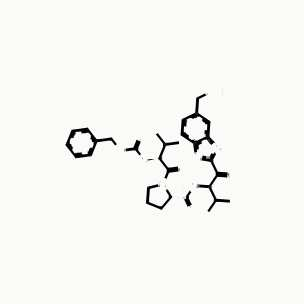 CC(C)C(NC(=O)[C@@H]1CCCN1C(=O)[C@@H](NC(=O)OCc1ccccc1)C(C)C)C(=O)c1nc2cc(CO)ccc2o1